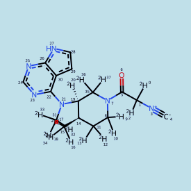 [2H]C([2H])([N+]#[C-])C(=O)N1C([2H])([2H])C([2H])([2H])[C@@H](C([2H])([2H])[2H])[C@@]([2H])(N(c2ncnc3[nH]ccc23)C([2H])([2H])[2H])C1([2H])[2H]